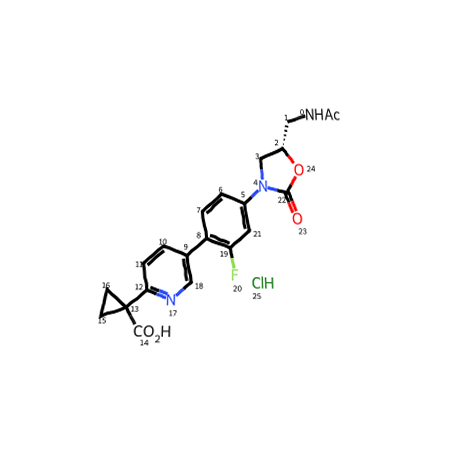 CC(=O)NC[C@H]1CN(c2ccc(-c3ccc(C4(C(=O)O)CC4)nc3)c(F)c2)C(=O)O1.Cl